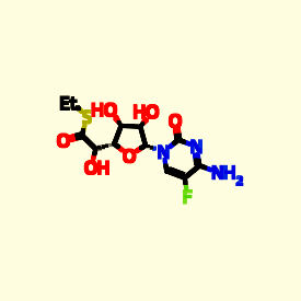 CCSC(=O)C(O)[C@H]1O[C@@H](n2cc(F)c(N)nc2=O)[C@H](O)[C@@H]1O